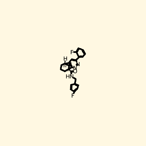 CC1(C)[C@@H]2CCC[C@@]1(C(=O)NCc1ccc(F)cc1)c1nnc(-c3ccccc3F)cc12